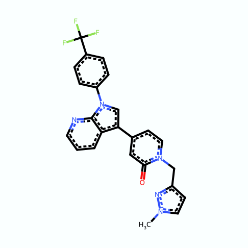 Cn1ccc(Cn2ccc(-c3cn(-c4ccc(C(F)(F)F)cc4)c4ncccc34)cc2=O)n1